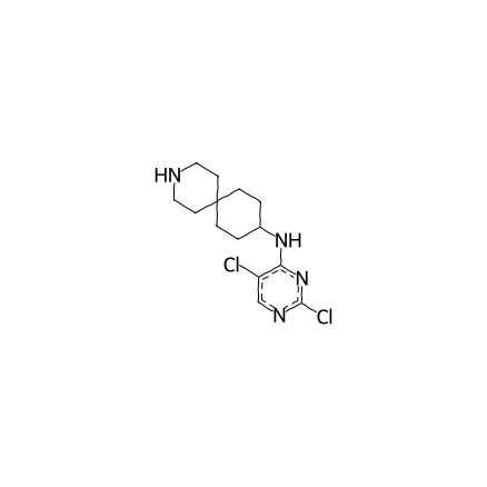 Clc1ncc(Cl)c(NC2CCC3(CCNCC3)CC2)n1